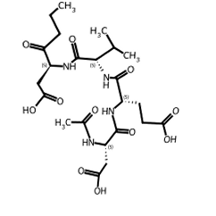 CCCC(=O)[C@H](CC(=O)O)NC(=O)[C@@H](NC(=O)[C@H](CCC(=O)O)NC(=O)[C@H](CC(=O)O)NC(C)=O)C(C)C